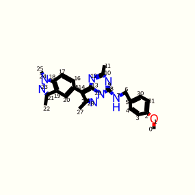 COc1ccc(CNc2nc(C)nc3c(-c4ccc5c(c4)c(C)nn5C)c(C)nn23)cc1